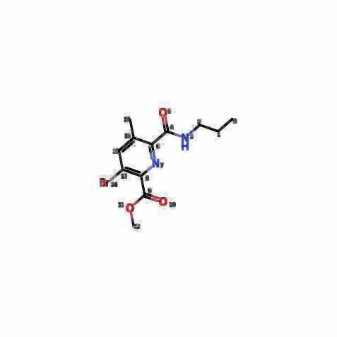 CCCNC(=O)c1nc(C(=O)OC)c(Br)cc1C